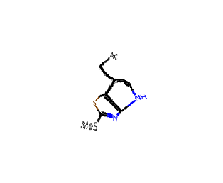 CSc1nc2[nH]cc(CC(C)=O)c2s1